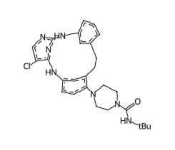 CC(C)(C)NC(=O)N1CCN(c2ccc3cc2CCc2cccc(c2)Nc2ncc(Cl)c(n2)N3)CC1